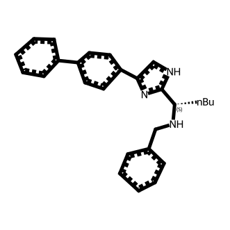 CCCC[C@H](NCc1ccccc1)c1nc(-c2ccc(-c3ccccc3)cc2)c[nH]1